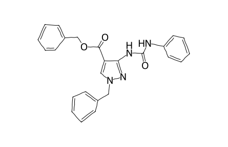 O=C(Nc1ccccc1)Nc1nn(Cc2ccccc2)cc1C(=O)OCc1ccccc1